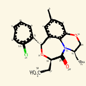 Cc1cc2c3c(c1)[C@@H](c1ccccc1Cl)O[C@H](CC(=O)O)C(=O)N3[C@H](C(C)(C)C)CO2